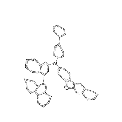 c1ccc(-c2ccc(N(c3cc(-c4cc5ccccc5c5ccccc45)c4ccccc4c3)c3ccc4c(c3)oc3cc5ccccc5cc34)cc2)cc1